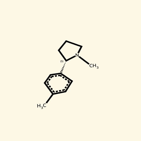 Cc1ccc([C@@H]2CCCN2C)cc1